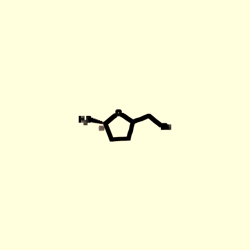 B[C@H]1CCC(CC(C)CC)O1